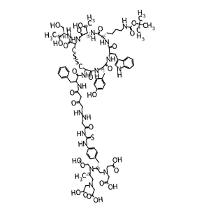 C[C@@H](O)[C@@H]1NC(=O)[C@H](CCCCNC(=O)OC(C)(C)C)NC(=O)C(Cc2c[nH]c3ccccc23)NC(=O)[C@H](Cc2ccc(O)cc2)NC(=O)C(NC(=O)C(Cc2ccccc2)NC(=O)CC(=O)CNNCC(=O)NC(=S)Nc2ccc(C[C@H](CN(CC(=O)O)CC(=O)O)N(COO)[C@@H](C)CN(CC(=O)O)CC(=O)O)cc2)CSSCC(C(=O)N[C@H](CO)[C@@H](C)O)NC1=O